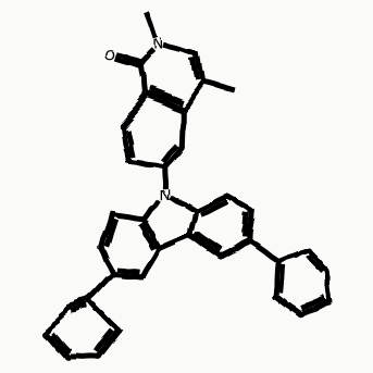 Cc1cn(C)c(=O)c2ccc(-n3c4ccc(-c5ccccc5)cc4c4cc(-c5ccccc5)ccc43)cc12